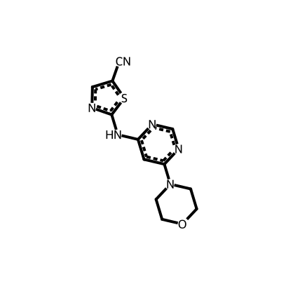 N#Cc1cnc(Nc2cc(N3CCOCC3)ncn2)s1